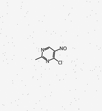 Cc1ncc(N=O)c(Cl)n1